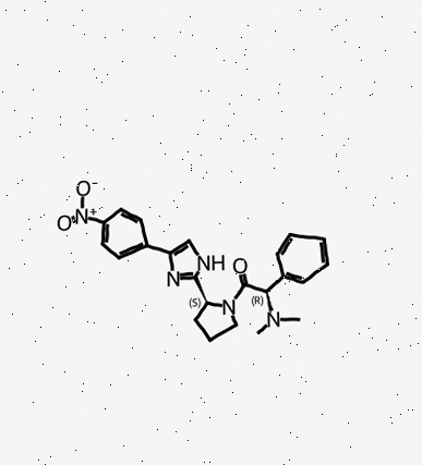 CN(C)[C@@H](C(=O)N1CCC[C@H]1c1nc(-c2ccc([N+](=O)[O-])cc2)c[nH]1)c1ccccc1